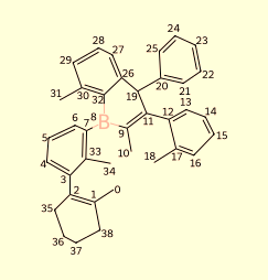 CC1=C(c2cccc(B3C(C)=C(c4ccccc4C)C(c4ccccc4)c4cccc(C)c43)c2C)CCCC1